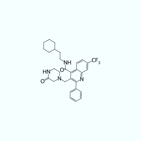 O=C1CN(Cc2c(-c3ccccc3)nc3cc(C(F)(F)F)ccc3c2C(=O)NCCC2CCCCC2)CCN1